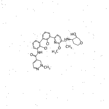 COc1nc(-c2cccc(-c3cccc(NC(=O)C4=CC=NN(C)C4)c3Cl)c2Cl)ccc1[C@@H](C)N[C@@H]1CCOC[C@@H]1O